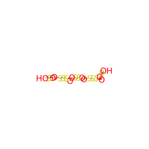 O=C(CSCSCSCCOOCSCSCOC(=O)CSCSCSCCOOCSCO)OCSCO